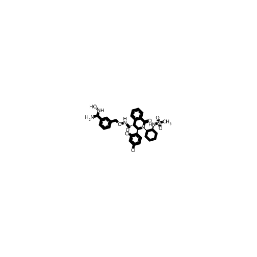 CS(=O)(=O)N[C@H]1CCCC[C@@H]1N1C(=O)c2ccccc2[C@@H](C(=O)NOCc2cccc(C(N)NO)c2)[C@@H]1c1ccc(Cl)cc1Cl